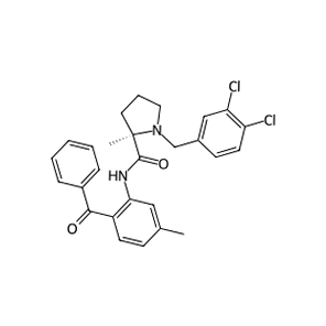 Cc1ccc(C(=O)c2ccccc2)c(NC(=O)[C@@]2(C)CCCN2Cc2ccc(Cl)c(Cl)c2)c1